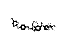 CCn1c(NCc2ccc(Oc3ncc(Cl)cn3)cc2)nc2ccc(Nc3cc(C(C)(C)C)[nH]n3)cc21